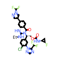 CCNC(=N)N(C(=O)c1ccc(-c2cnn(C(F)F)c2)cc1)[C@H](COC(=O)N[C@H]1C[C@@H]1F)c1ccc(Cl)c(-n2ncnc2C(F)F)c1